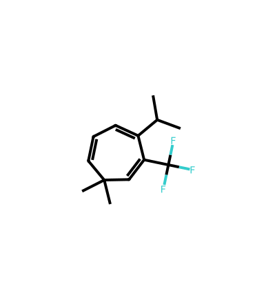 CC(C)C1=CC=CC(C)(C)C=C1C(F)(F)F